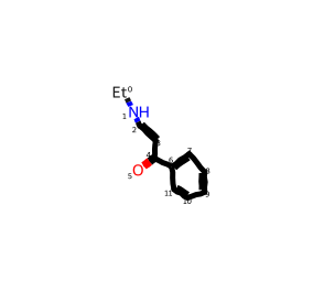 CCNC=CC(=O)c1ccccc1